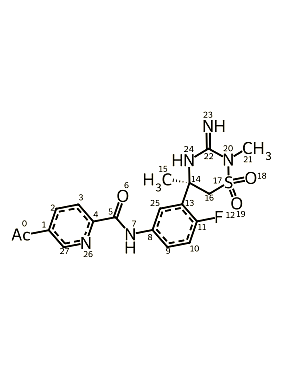 CC(=O)c1ccc(C(=O)Nc2ccc(F)c([C@]3(C)CS(=O)(=O)N(C)C(=N)N3)c2)nc1